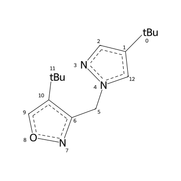 CC(C)(C)c1cnn(Cc2nocc2C(C)(C)C)c1